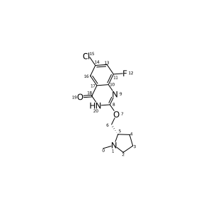 CN1CCC[C@H]1COc1nc2c(F)cc(Cl)cc2c(=O)[nH]1